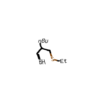 B=CC(CCCC)CSCC